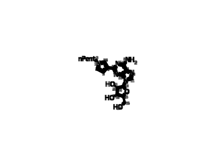 CCCCCn1ccc(-c2nc(N)c3ncn(C4O[C@@H](CO)[C@H](O)[C@@H]4O)c3n2)c1